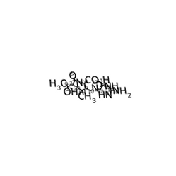 C[C@@H](O)C1C(=O)N2C(C(=O)O)=C(CN3CC[C@@H](NC(=N)N)C3)[C@H](C)C12